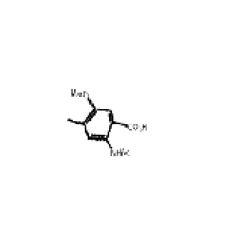 COc1cc(C(=O)O)c(NC(C)=O)cc1C